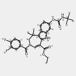 CCOC(=O)C1=CN(C(=O)c2ccc(F)c(F)c2)CC(C)(C)c2c1[nH]c1cc(OC(=O)NC(C)(C)C)ccc21